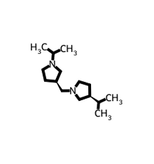 CC(C)[C@@H]1CCN(C[C@H]2CCN(C(C)C)C2)C1